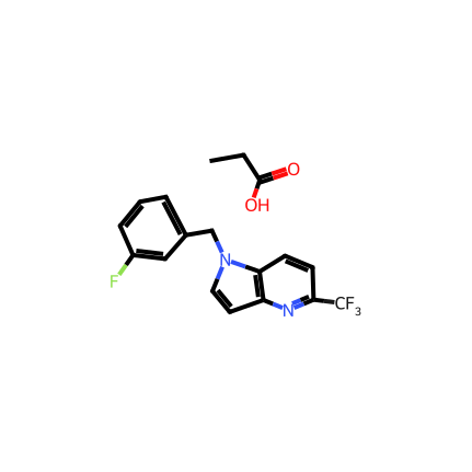 CCC(=O)O.Fc1cccc(Cn2ccc3nc(C(F)(F)F)ccc32)c1